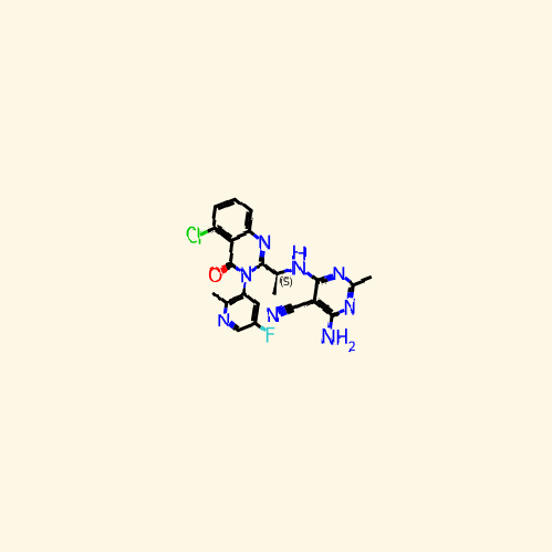 Cc1nc(N)c(C#N)c(N[C@@H](C)c2nc3cccc(Cl)c3c(=O)n2-c2cc(F)cnc2C)n1